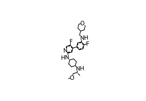 COC[C@H](C)N[C@H]1CC[C@H](Nc2cc(-c3ccc(F)c(NCC4CCOCC4)c3)c(F)cn2)CC1